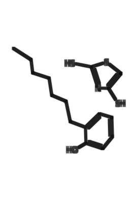 CCCCCCCc1ccccc1O.Sc1csc(S)n1